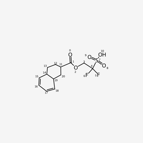 O=C(OCC(F)(F)S(=O)(=O)O)C1CCC2C=CC=CC2C1